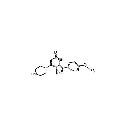 COc1ccc(-c2cnn3c(C4CCNCC4)cc(=O)[nH]c23)cc1